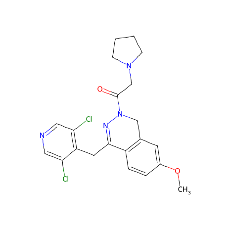 COc1ccc2c(c1)CN(C(=O)CN1CCCC1)N=C2Cc1c(Cl)cncc1Cl